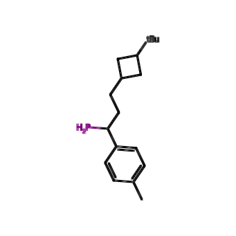 Cc1ccc(C(P)CCC2CC(C(C)(C)C)C2)cc1